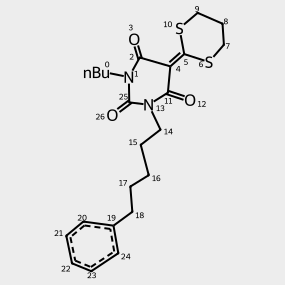 CCCCN1C(=O)C(=C2SCCCS2)C(=O)N(CCCCCc2ccccc2)C1=O